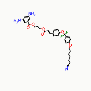 N#CCCCCCCOc1ccc(C(F)(F)Oc2ccc(/C=C/C(=O)OCCCOC(=O)c3cc(N)cc(N)c3)cc2)cc1